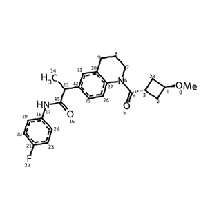 CO[C@H]1C[C@H](C(=O)N2CCCc3cc(C(C)C(=O)Nc4ccc(F)cc4)ccc32)C1